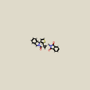 O=C1c2ccccc2C(=O)N1C[C@@H]1C[C@@]1(C(=O)N1Cc2ccccc2C1)c1cccs1